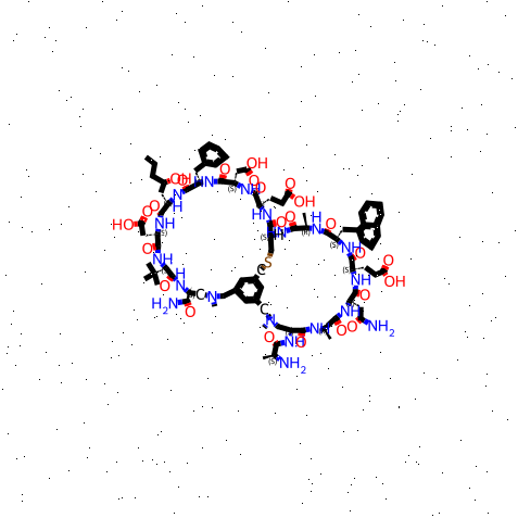 CCCC(O)C[C@@H]1NC(=O)[C@H](Cc2ccccc2)NC(=O)[C@H](CC(=O)O)NC(=O)[C@H](CCC(=O)O)NC(=O)[C@H]2CSCc3cc(cc(c3)CN(C)C[C@H](NC(=O)[C@H](C)N)C(=O)N[C@H](C)C(=O)N[C@@H](CC(N)=O)C(=O)N[C@@H](CCC(=O)O)C(=O)N[C@@H](Cc3cccc4ccccc34)C(=O)N[C@H](C)C(=O)N2)CN(C)C[C@@H](C(N)=O)NC(=O)[C@H](C(C)(C)C)NC(=O)[C@H](CC(=O)O)NC1=O